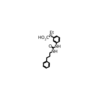 CCN(C(=O)O)c1cccc(NC(=O)NCCCc2ccccc2)c1